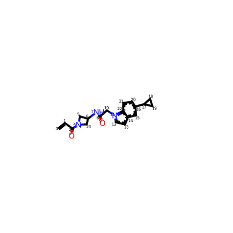 C=CC(=O)N1CC(NC(=O)Cn2ccc3cc(C4CC4)ccc32)C1